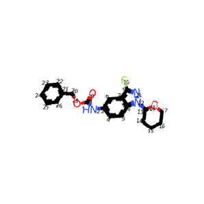 O=C(Nc1ccc2c(c1)c(F)nn2C1CCCCO1)OCc1ccccc1